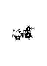 C=C=C(Nc1ncc(F)s1)N1CC2(CCNC2)c2cc(F)ccc21